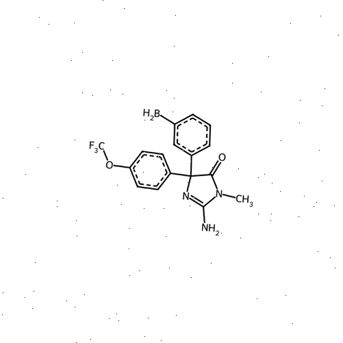 Bc1cccc(C2(c3ccc(OC(F)(F)F)cc3)N=C(N)N(C)C2=O)c1